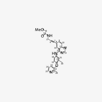 COCC(=O)NCC#Cc1ccc2ncnc(Nc3ccc(Oc4cccnc4C)c(C)c3)c2c1